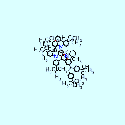 CC(C)(C)c1ccc(CC(c2ccc(C(C)(C)C)cc2)c2ccc3c(c2)C2(C)CCCCC2(C)N3c2cc3c4c(c2)N(c2ccc(C(C)(C)C)cc2-c2ccccc2)c2ccc(C(C)(C)C)cc2B4c2cc(C(C)(C)C)ccc2N3c2ccc(C(C)(C)C)cc2-c2ccccc2)cc1